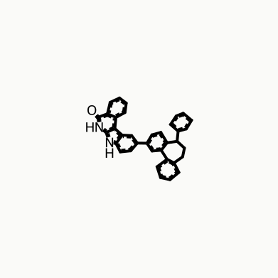 O=c1[nH]c2[nH]c3ccc(-c4ccc5c(c4)-c4ccccc4CCC5c4ccccc4)cc3c2c2ccccc12